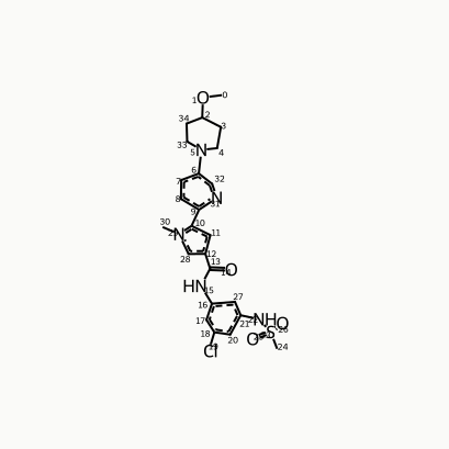 COC1CCN(c2ccc(-c3cc(C(=O)Nc4cc(Cl)cc(NS(C)(=O)=O)c4)cn3C)nc2)CC1